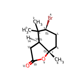 CC1(C)[C@@H](Br)CC[C@]2(C)OC(=O)C[C@@H]12